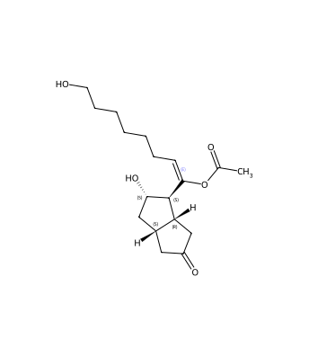 CC(=O)O/C(=C/CCCCCCO)[C@H]1[C@@H]2CC(=O)C[C@@H]2C[C@@H]1O